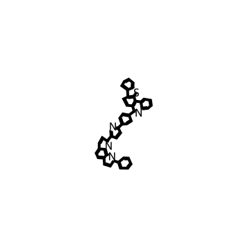 c1ccc(-c2ccc3ccc4ccc(-c5ccc(-c6ccc(-c7nc8ccccc8c8c7ccc7c9ccccc9sc78)cc6)nc5)nc4c3n2)cc1